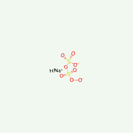 O=S(=O)([O-])OS(=O)(=O)O[O-].[H+].[Na+]